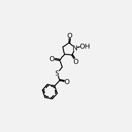 O=C(SCC(=O)C1CC(=O)N(O)C1=O)c1ccccc1